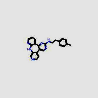 Cc1ccc(CCNc2ncc3c(n2)-c2cccnc2Nc2cnccc2-3)cc1